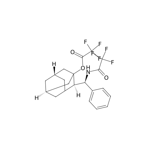 O=C(N[C@@H](c1ccccc1)[C@H]1C2C[C@@H]3C[C@H](C2)CC1(OC(=O)C(F)(F)F)C3)C(F)(F)F